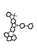 CC1(C)c2ccccc2-c2cc3c4cc(-c5cccc6ccc7cccnc7c56)ccc4n(-c4ccc(-c5ccccc5)cc4)c3cc21